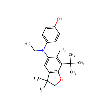 CCN(c1ccc(O)cc1)c1cc2c(c(C(C)(C)C)c1C)OCC2(C)C